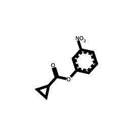 O=C(Oc1cccc([N+](=O)[O-])c1)C1CC1